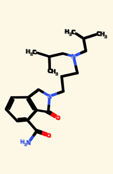 CC(C)CN(CCCN1Cc2cccc(C(N)=O)c2C1=O)CC(C)C